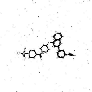 CS(=O)(=O)N1CCC(C(=O)N2CCC(Oc3cc(-c4cccc(C#N)c4)cc4ccncc34)CC2)CC1